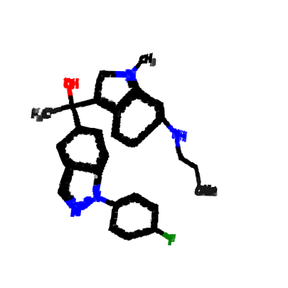 COCCNc1ccc2c(C(O)(c3ccc4c(cnn4-c4ccc(F)cc4)c3)C(F)(F)F)cn(C)c2c1